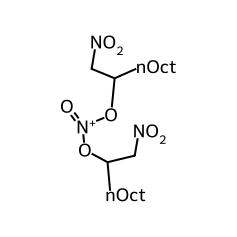 CCCCCCCCC(C[N+](=O)[O-])O[N+](=O)OC(CCCCCCCC)C[N+](=O)[O-]